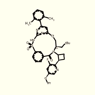 Cc1cccc(C)c1-c1cc2nc(n1)NS(=O)(=O)c1cccc(c1)C(=O)N(C1CCC1c1ncc(OC(C)C)cc1F)[C@H](CC(C)(C)C)CO2